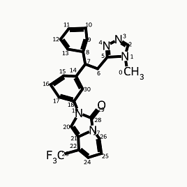 Cn1cnnc1CC(c1ccccc1)c1cccc(-n2cc3c(C(F)(F)F)cccn3c2=O)c1